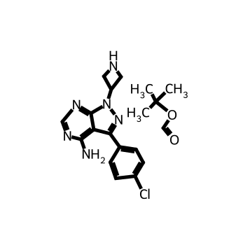 CC(C)(C)OC=O.Nc1ncnc2c1c(-c1ccc(Cl)cc1)nn2C1CNC1